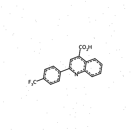 O=C(O)c1cc(-c2ccc(C(F)(F)F)cc2)nc2ccccc12